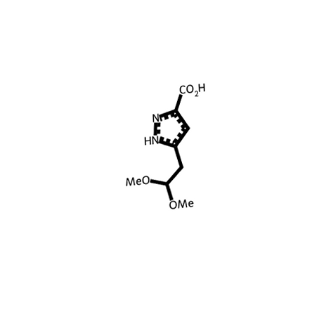 COC(Cc1cc(C(=O)O)n[nH]1)OC